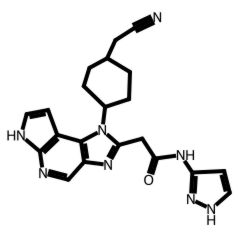 N#CCC1CCC(n2c(CC(=O)Nc3cc[nH]n3)nc3cnc4[nH]ccc4c32)CC1